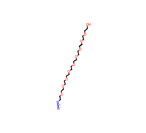 [N-]=[N+]=NCCOCCOCCOCCOCCOCCOCCOCCOCCOCCO